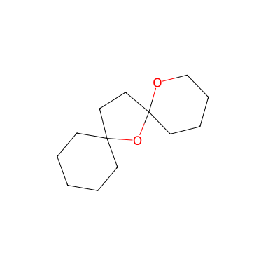 C1CCC2(CC1)CCC1(CCCCO1)O2